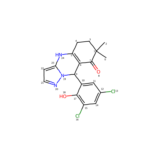 CC1(C)CCC2=C(C1=O)C(c1cc(Cl)cc(Cl)c1O)n1nccc1N2